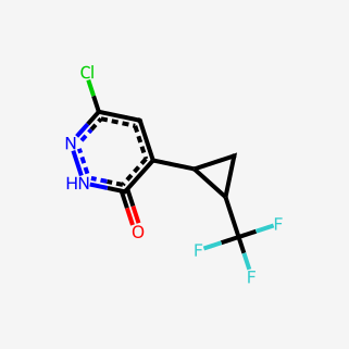 O=c1[nH]nc(Cl)cc1C1CC1C(F)(F)F